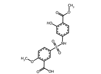 COC(=O)c1ccc(NS(=O)(=O)c2ccc(OC)c(C(=O)O)c2)cc1O